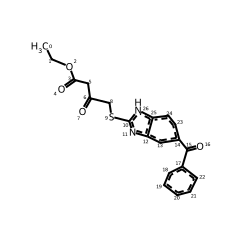 CCOC(=O)CC(=O)CSc1nc2cc(C(=O)c3ccccc3)ccc2[nH]1